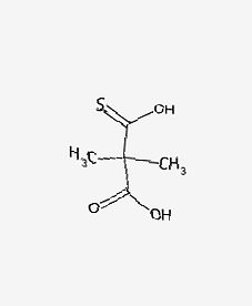 CC(C)(C(=O)O)C(O)=S